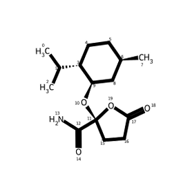 CC(C)[C@@H]1CC[C@@H](C)C[C@H]1O[C@]1(C(N)=O)[CH]CC(=O)O1